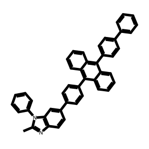 Cc1nc2ccc(-c3ccc(-c4c5ccccc5c(-c5ccc(-c6ccccc6)cc5)c5ccccc45)cc3)cc2n1-c1ccccc1